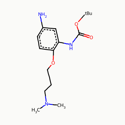 CN(C)CCCOc1ccc(N)cc1NC(=O)OC(C)(C)C